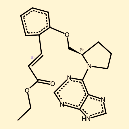 CCOC(=O)/C=C/c1ccccc1OC[C@H]1CCCN1c1ncnc2[nH]cnc12